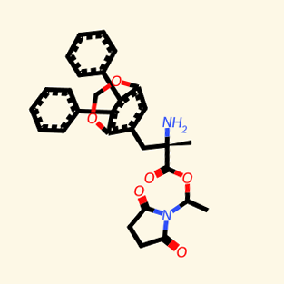 CC(OC(=O)[C@@](C)(N)Cc1cc2c(-c3ccccc3)c(-c3ccccc3)c1OCO2)N1C(=O)CCC1=O